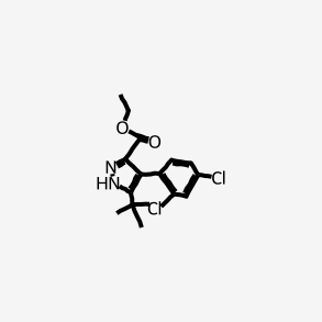 CCOC(=O)c1n[nH]c(C(C)(C)C)c1-c1ccc(Cl)cc1Cl